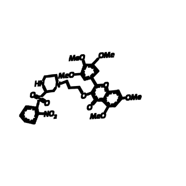 COc1cc(OC)c2c(=O)c(OCCCN3CCNC(S(=O)(=O)c4ccccc4[N+](=O)[O-])C3)c(-c3cc(OC)c(OC)c(OC)c3)oc2c1